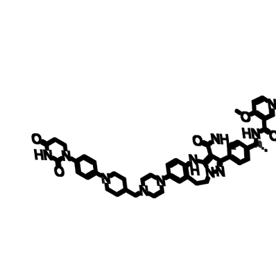 COc1ccncc1C(=O)N[C@H](C)c1ccc(-c2nn3c(c2C(N)=O)Nc2ccc(N4CCN(CC5CCN(c6ccc(N7CCC(=O)NC7=O)cc6)CC5)CC4)cc2CC3)cc1